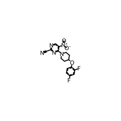 N#Cc1ncc([N+](=O)[O-])c(N2CCC(Oc3ccc(F)cc3F)CC2)n1